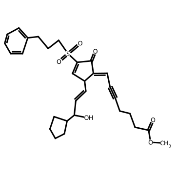 COC(=O)CCCC#CC=C1C(=O)C(S(=O)(=O)CCCc2ccccc2)=CC1C=CC(O)C1CCCC1